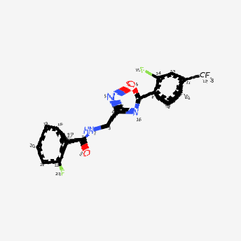 O=C(NCc1noc(-c2ccc(C(F)(F)F)cc2F)n1)c1ccccc1F